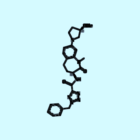 CO[C@@H]1CCN(c2ccc3c(c2)N(C)C(=O)[C@@H](NC(=O)c2nnn(Cc4ccccc4)n2)CC3)C1